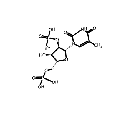 Cc1cn([C@@H]2O[C@H](COP(=O)(O)O)[C@@H](O)[C@H]2OP(O)(=S)C(C)C)c(=O)[nH]c1=O